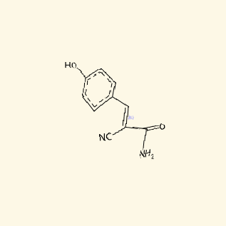 N#C/C(=C\c1ccc(O)cc1)C(N)=O